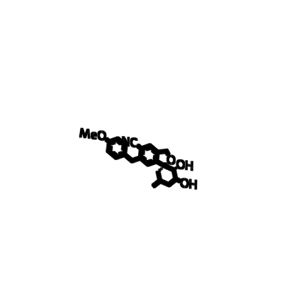 COc1ccc(Cc2cc3c(cc2C#N)CO[C@]32CC(C)CC(O)[C@H]2O)cc1